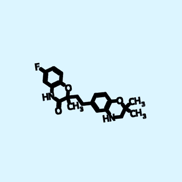 CC1(C)CNc2cc(CCC3(C)Oc4ccc(F)cc4NC3=O)ccc2O1